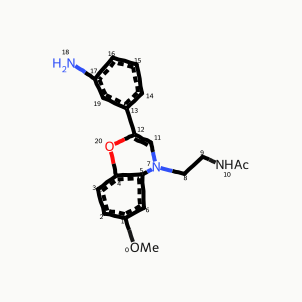 COc1ccc2c(c1)N(CCNC(C)=O)C=C(c1cccc(N)c1)O2